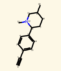 C#Cc1ccc(C2CCC(C)CN2C)cc1